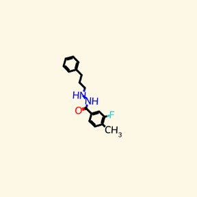 Cc1ccc(C(=O)NNCCCc2ccccc2)cc1F